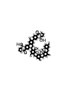 COc1cc(Cc2cc(C)c(Cc3cc(C)c(Cc4cc(C)ccc4OC)cc3OC)cc2OC)c(C)cc1CCc1cc(-c2ccc(C(=O)N3CCC[C@H]3CO)cc2)c(C)cc1-c1ccc(C(=O)N2CCC[C@H]2CO)cc1